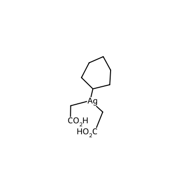 O=C(O)[CH2][Ag]([CH2]C(=O)O)[CH]1CCCCC1